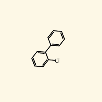 Clc1ccccc1-c1c[c]ccc1